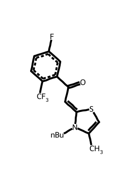 CCCCN1C(C)=CSC1=CC(=O)c1cc(F)ccc1C(F)(F)F